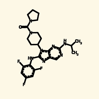 CC(C)Nc1ncc2nc(Nc3c(F)cc(F)cc3F)n(C3CCN(C(=O)N4CCCC4)CC3)c2n1